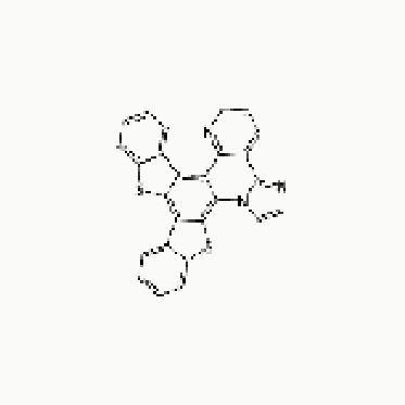 c1ccc2c(c1)sc1c2c2sc3ccccc3c2c2c3ncccc3c3nccn3c12